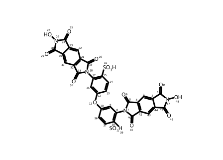 O=c1c2cc3c(=O)n(-c4cc(Oc5ccc(S(=O)(=O)O)c(-n6c(=O)c7cc8c(=O)n(O)c(=O)c8cc7c6=O)c5)ccc4S(=O)(=O)O)c(=O)c3cc2c(=O)n1O